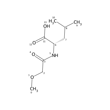 COCC(=O)N[C@@H](CC(C)C)C(=O)O